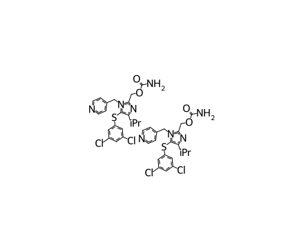 CC(C)c1nc(COC(N)=O)n(Cc2ccncc2)c1Sc1cc(Cl)cc(Cl)c1.CC(C)c1nc(COC(N)=O)n(Cc2ccncc2)c1Sc1cc(Cl)cc(Cl)c1